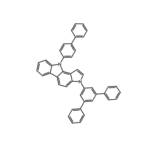 c1ccc(-c2ccc(-n3c4ccccc4c4ccc5c(ccn5-c5cc(-c6ccccc6)cc(-c6ccccc6)c5)c43)cc2)cc1